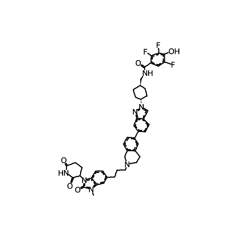 Cn1c(=O)n(C2CCC(=O)NC2=O)c2ccc(CCCN3CCc4cc(-c5ccc6cn([C@H]7CC[C@H](CNC(=O)c8cc(F)c(O)c(F)c8F)CC7)nc6c5)ccc4C3)cc21